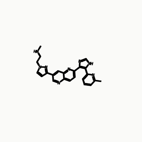 CNCCn1ccc(-c2cnc3ccc(-c4nc[nH]c4-c4cccc(C)n4)nc3c2)n1